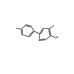 Cc1ccc(-c2ccc(C#N)c(C)c2)cc1